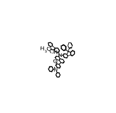 CC1(C)c2ccccc2-c2ccc(N(c3ccc4c(c3)C(C3=CC=CCC3)(c3ccccc3)c3ccccc3-4)c3ccc4c5c(cccc35)-c3ccc(N(c5ccccc5)c5ccccc5)cc3O4)cc21